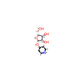 OC[C@H]1O[C@@H](Oc2ccncc2)[C@H](O)[C@@H]1O